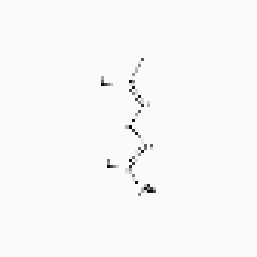 CCCC/C(C)=C/CC=C(C)C